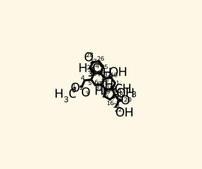 COC(=O)CC1C[C@@H]2[C@H](C(O)C[C@@]3(C)[C@H]2CC[C@]3(O)C(=O)CO)[C@@]2(C)C=CC(=O)C=C12